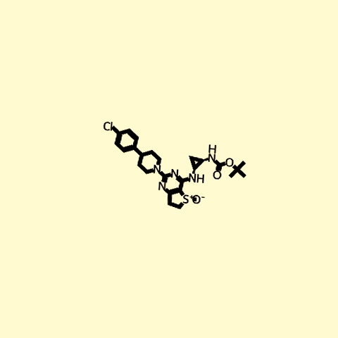 CC(C)(C)OC(=O)N[C@@H]1C[C@@H]1Nc1nc(N2CCC(c3ccc(Cl)cc3)CC2)nc2c1[S+]([O-])CC2